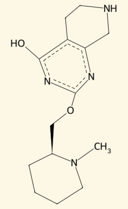 CN1CCCC[C@H]1COc1nc(O)c2c(n1)CNCC2